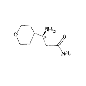 NC(=O)C[C@H](N)C1CCOCC1